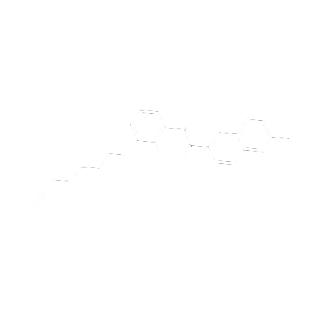 C#CCCCCCOc1cccc(NC(=O)c2ccc3nc(C)ccc3c2)c1F